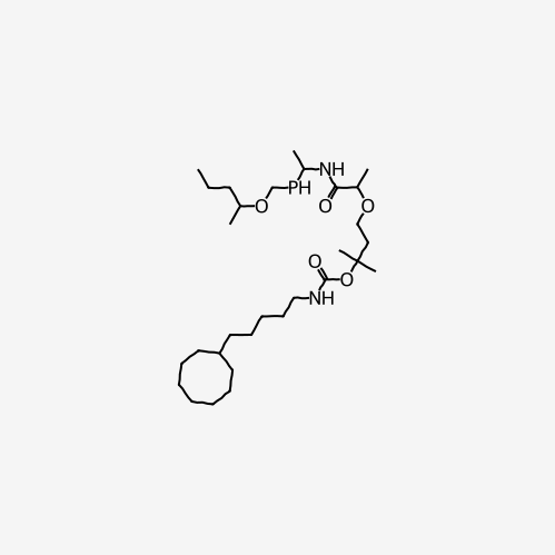 CCCC(C)OCPC(C)NC(=O)C(C)OCCC(C)(C)OC(=O)NCCCCCC1CCCCCCC1